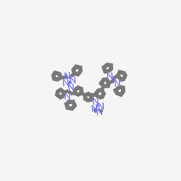 c1ccc(-c2nc(-c3ccccc3)nc(N3c4ccc(-c5ccc6c(c5)c5cc(-c7ccc8c(c7)C7C(c9ccccc9N7c7ccccc7)N8c7ccccc7)ccc5n6-c5ncncn5)cc4C4C3c3ccccc3N4c3ccccc3)n2)cc1